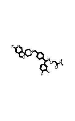 CN(C)C(=O)CO/N=C(/c1ccc(CN2CCC3(CC2)OCc2cc(F)ncc23)cc1)c1ccc(F)c(F)c1